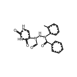 Cc1ccccc1N(NN(C=O)c1c[nH]c(=O)[nH]c1=O)C(=O)c1ccccc1